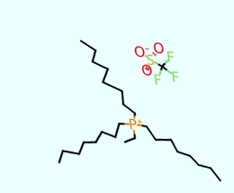 CCCCCCCC[P+](CC)(CCCCCCCC)CCCCCCCC.O=S(=O)([O-])C(F)(F)F